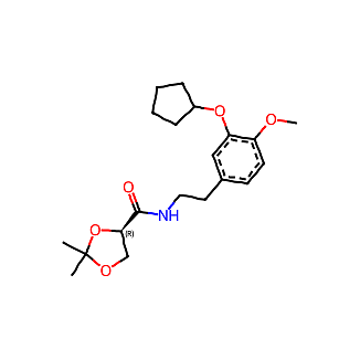 COc1ccc(CCNC(=O)[C@H]2COC(C)(C)O2)cc1OC1CCCC1